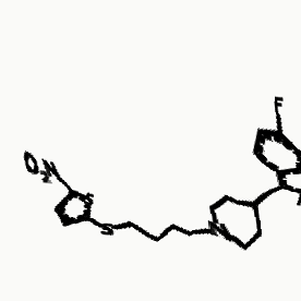 O=[N+]([O-])c1ccc(SCCCCN2CCC(c3noc4cc(F)ccc34)CC2)s1